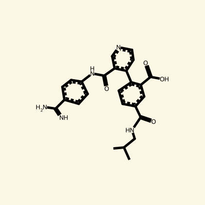 CC(C)CNC(=O)c1ccc(-c2ccncc2C(=O)Nc2ccc(C(=N)N)cc2)c(C(=O)O)c1